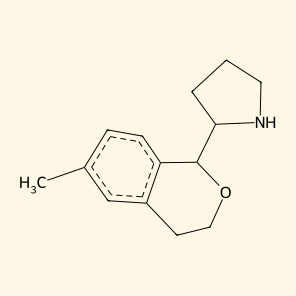 Cc1ccc2c(c1)CCOC2C1CCCN1